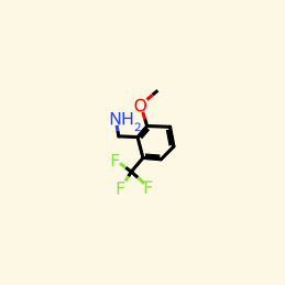 COc1cccc(C(F)(F)F)c1CN